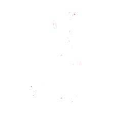 C=Cc1ccccc1.C=Cc1ccccc1C=C.O=C(O)CNCC(=O)O